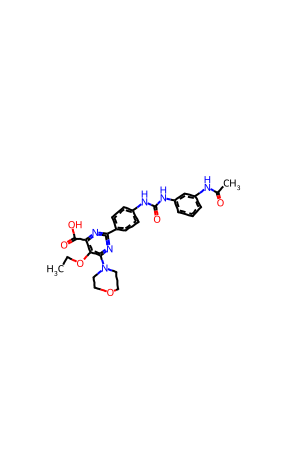 CCOc1c(C(=O)O)nc(-c2ccc(NC(=O)Nc3cccc(NC(C)=O)c3)cc2)nc1N1CCOCC1